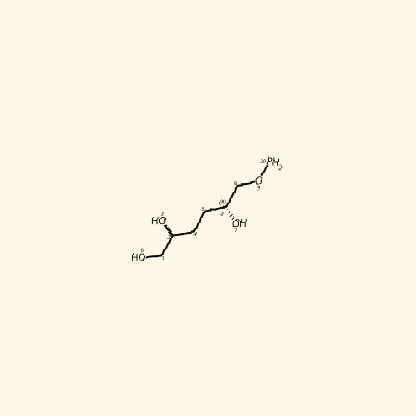 OCC(O)CC[C@@H](O)COP